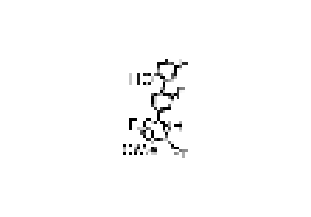 COC(=O)[C@H](CC(C)C)NC(c1ccc(-c2cc(F)ccc2O)c(F)c1)C(F)(F)F